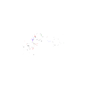 O=C(Nc1ccc(F)c(F)c1)c1ccc(Cl)c(S(=O)(=O)[C@@H]2C[C@H]3CC[C@@H](C2)[C@@]3(O)[C@H](O)c2ccc(F)cn2)c1